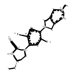 CC[C@H]1CN(c2cc(F)c(N3Cc4cn(C)nc4C3)cc2F)C(=O)O1